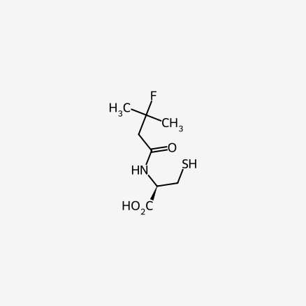 CC(C)(F)CC(=O)N[C@@H](CS)C(=O)O